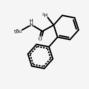 [2H]C1(C(=O)NC(C)(C)C)CC=CC=C1c1ccccc1